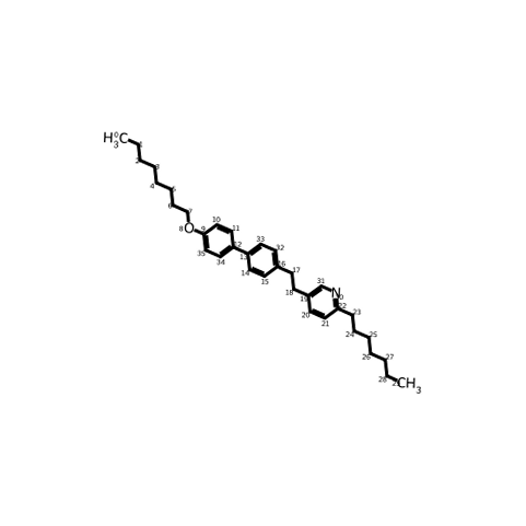 CCCCCCCCOc1ccc(-c2ccc(CCc3ccc(CCCCCCC)nc3)cc2)cc1